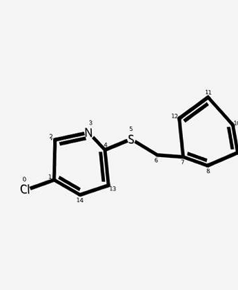 Clc1[c]nc(SCc2ccccc2)cc1